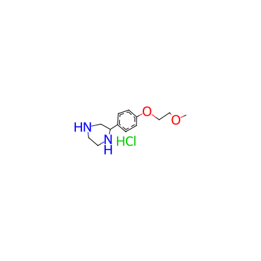 COCCOc1ccc(C2CNCCN2)cc1.Cl